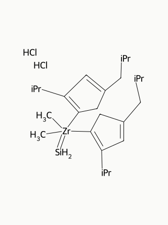 CC(C)CC1=CC(C(C)C)=[C]([Zr]([CH3])([CH3])(=[SiH2])[C]2=C(C(C)C)C=C(CC(C)C)C2)C1.Cl.Cl